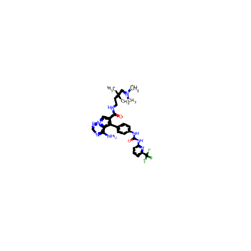 CN(C)CC(C)(C)CCNC(=O)c1cn2ncnc(N)c2c1-c1ccc(NC(=O)Nc2cccc(C(F)(F)F)n2)cc1